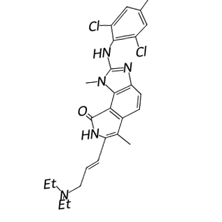 CCN(CC)C/C=C/c1[nH]c(=O)c2c(ccc3nc(Nc4c(Cl)cc(Cl)cc4Cl)n(C)c32)c1C